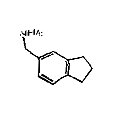 CC(=O)NCc1ccc2c(c1)CCC2